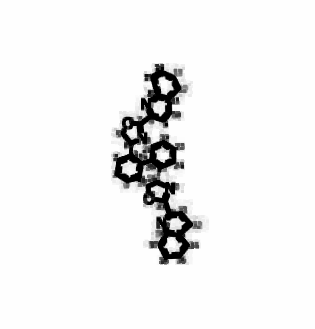 c1ccc([C@H]2COC(c3ccc4ccccc4n3)=N2)c(-c2ccccc2[C@H]2COC(c3ccc4ccccc4n3)=N2)c1